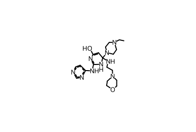 CCN1CCN(C2(NCCN3CCOCC3)C=C(O)N=C(Nc3ccncn3)N2)CC1